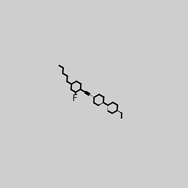 CCCCCC1CCC(C#C[C@H]2CC[C@H]([C@H]3CC[C@H](CC)CC3)CC2)C(F)C1